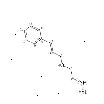 CCNCCOCC=Cc1ccccc1